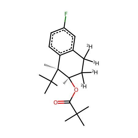 [2H]C1([2H])c2cc(F)ccc2[C@](C)(C(C)(C)C)[C@](C)(OC(=O)C(C)(C)C)C1([2H])[2H]